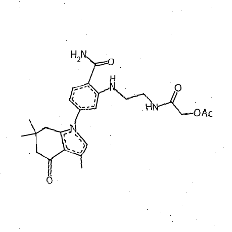 CC(=O)OCC(=O)NCCNc1cc(-n2cc(C)c3c2CC(C)(C)CC3=O)ccc1C(N)=O